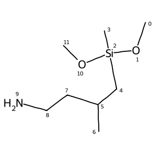 CO[Si](C)(CC(C)CCN)OC